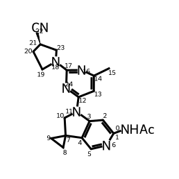 CC(=O)Nc1cc2c(cn1)C1(CC1)CN2c1cc(C)nc(N2CC[C@@H](C#N)C2)n1